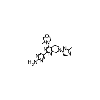 Cc1nccc(N2CCc3c(nc(-c4cnc(N)nc4)nc3N3CCOCC3C)C2)n1